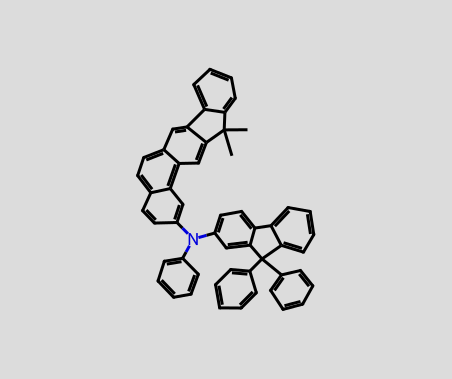 CC1(C)c2ccccc2-c2cc3ccc4ccc(N(c5ccccc5)c5ccc6c(c5)C(c5ccccc5)(c5ccccc5)c5ccccc5-6)cc4c3cc21